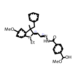 CCN1/C(=C\C=N\NC(=O)c2ccc(C(O)OC)cc2)C(C)(Cc2ccccc2)c2cc(OC)ccc21